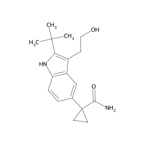 CC(C)(C)c1[nH]c2ccc(C3(C(N)=O)CC3)cc2c1CCO